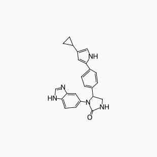 O=C1NCC(c2ccc(-c3cc(C4CC4)c[nH]3)cc2)N1c1ccc2[nH]cnc2c1